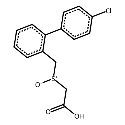 O=C(O)C[S+]([O-])Cc1ccccc1-c1ccc(Cl)cc1